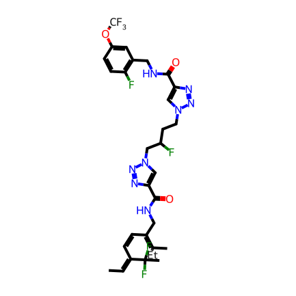 C\C=C(/C=C\C(CNC(=O)c1cn(CC(F)CCn2cc(C(=O)NCc3cc(OC(F)(F)F)ccc3F)nn2)nn1)=C(\C)CC)C(C)(F)F